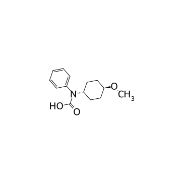 CO[C@H]1CC[C@H](N(C(=O)O)c2ccccc2)CC1